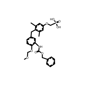 COCOc1ccc(Cc2c(C)cc(OCP(=O)(O)O)cc2C)cc1NC(=O)OCc1ccccc1